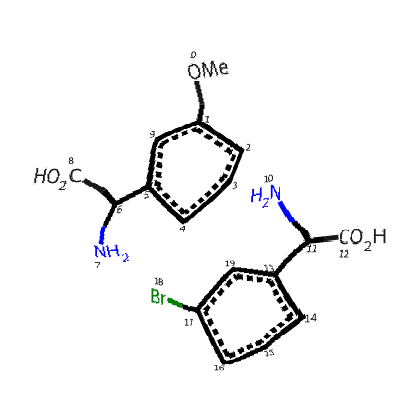 COc1cccc(C(N)C(=O)O)c1.NC(C(=O)O)c1cccc(Br)c1